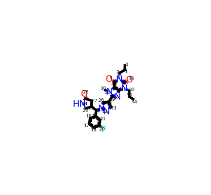 CCCn1c(=O)c2c(nc(-c3cnn(C(c4cccc(F)c4)C4CNC(=O)C4)c3)n2C)n(CCC)c1=O